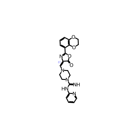 N=C(Nc1ccccn1)N1CCN(/C=C2/N=C(c3cccc4c3OCCO4)OC2=O)CC1